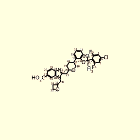 CC1(c2c(F)cc(Cl)cc2F)Oc2cccc(C3CCC(Cc4nc5ccc(C(=O)O)cc5n4C[C@@H]4CCO4)OC3)c2O1